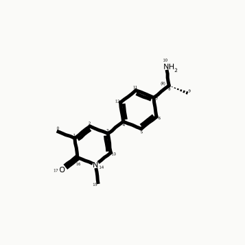 Cc1cc(-c2ccc([C@@H](C)N)cc2)cn(C)c1=O